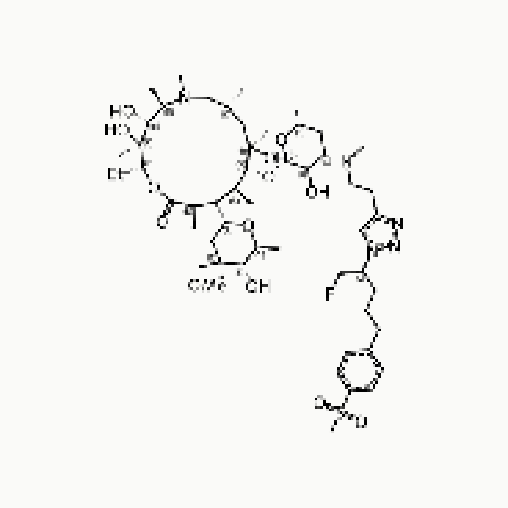 CC[C@H]1OC(=O)[C@H](C)C([C@H]2C[C@@](C)(OC)[C@@H](O)[C@H](C)O2)[C@H](C)[C@@H](O[C@@H]2O[C@H](C)C[C@H](N(C)CCc3cn([C@H](CF)CCCc4ccc(S(C)(=O)=O)cc4)nn3)[C@H]2O)[C@](C)(O)C[C@@H](C)CN(C)[C@H](C)[C@@H](O)[C@]1(C)O